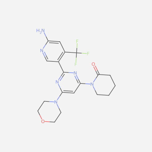 Nc1cc(C(F)(F)F)c(-c2nc(N3CCOCC3)cc(N3CCCCC3=O)n2)cn1